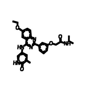 CCOc1ccc2nc(-c3cccc(OCC(=O)NC(C)C)c3)nc(Nc3c[nH]c(=O)c(C)c3)c2c1